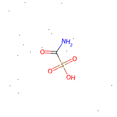 NC(=O)S(=O)(=O)O